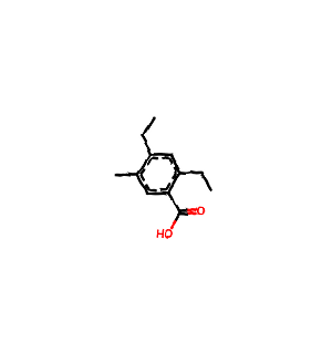 CCc1cc(CC)c(C(=O)O)cc1C